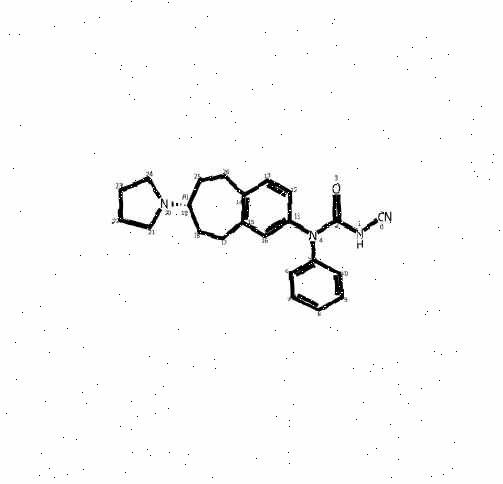 N#CNC(=O)N(c1ccccc1)c1ccc2c(c1)CC[C@H](N1CCCC1)CC2